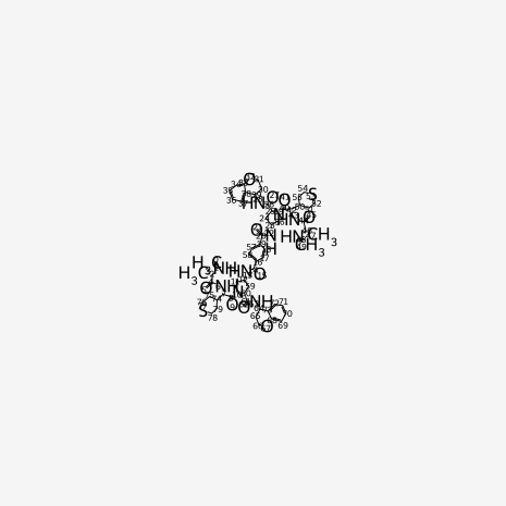 CN[C@@H](C)C(=O)N[C@H](C(=O)N1C[C@@H](NC(=O)c2ccc(C(=O)N[C@H]3C[C@@H](C(=O)N[C@@H]4CCOc5ccccc54)N(C(=O)[C@@H](NC(=O)[C@H](C)NC)C4CCSCC4)C3)cc2)C[C@H]1C(=O)N[C@@H]1CCOc2ccccc21)C1CCSCC1